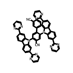 N#Cc1cccc(-c2cc(-n3c4cc(-c5ncccn5)ccc4c4ccc(-c5ncccn5)cc43)c(C#N)cc2-n2c3cc(-c4ncccn4)ccc3c3ccc(-c4ncccn4)cc32)c1